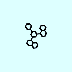 [c]1c(-c2cccc3ccccc23)cc(-c2ccccc2)cc1-c1cccc2ccccc12